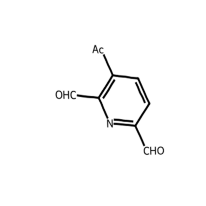 CC(=O)c1ccc(C=O)nc1C=O